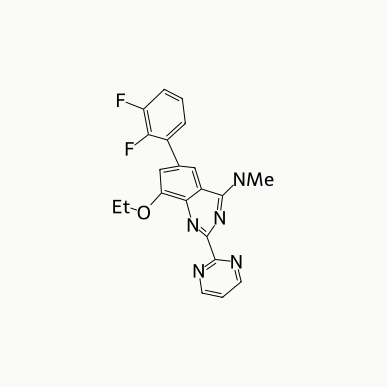 CCOc1cc(-c2cccc(F)c2F)cc2c(NC)nc(-c3ncccn3)nc12